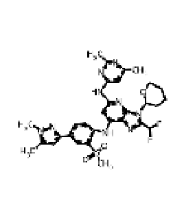 Cc1cc(Nc2cc(Nc3ccc(-c4cc(C)n(C)n4)cc3S(C)(=O)=O)c3nc(C(F)F)n(C4CCCCO4)c3n2)nc(C)n1